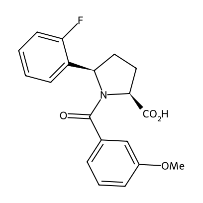 COc1cccc(C(=O)N2[C@@H](c3ccccc3F)CC[C@H]2C(=O)O)c1